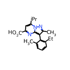 CCc1cccc(C)c1-c1c(C)nn2c(C(C)C)cc(C(=O)O)nc12